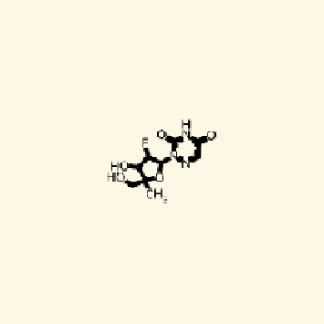 CC1(CO)OC(n2ncc(=O)[nH]c2=O)C(F)C1O